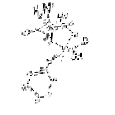 NC1C(=O)N2CC(CSc3ccccc3)(C(=O)O)CS[C@H]12